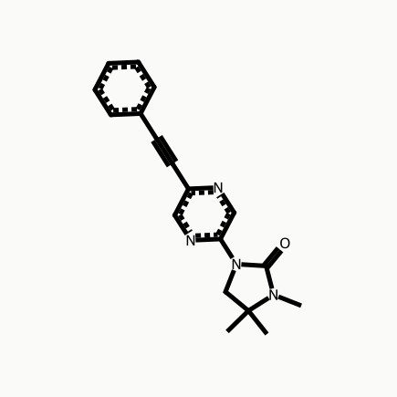 CN1C(=O)N(c2cnc(C#Cc3ccccc3)cn2)CC1(C)C